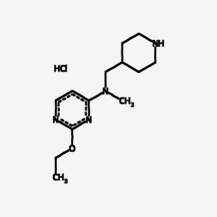 CCOc1nccc(N(C)CC2CCNCC2)n1.Cl